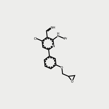 CC(C)Nc1nc(-c2cccc(OCC3CO3)c2)cc(Cl)c1C=N